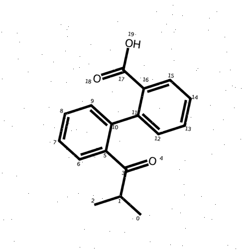 CC(C)C(=O)c1ccccc1-c1ccccc1C(=O)O